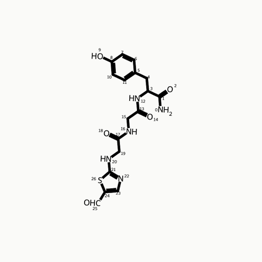 NC(=O)C(Cc1ccc(O)cc1)NC(=O)CNC(=O)CNc1ncc(C=O)s1